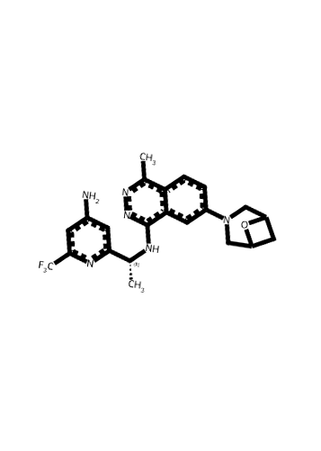 Cc1nnc(N[C@H](C)c2cc(N)cc(C(F)(F)F)n2)c2cc(N3CC4CC(C3)O4)ccc12